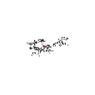 CC[C@H]1OC(=O)[C@H](C)[C@@H](O[C@H]2C[C@@](C)(OC)[C@@H](OC(=O)CCNCCCc3cc4c5c(c3)c(=O)c(C(=O)O)cn5N(C)CO4)[C@H](C)O2)[C@H](C)[C@@H](O[C@@H]2O[C@H](C)C[C@H](N(C)C)[C@H]2O)[C@](C)(O)C[C@@H](C)/C(=N\OCOC)C(C)[C@@H](O)[C@]1(C)O